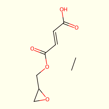 CC.O=C(O)C=CC(=O)OCC1CO1